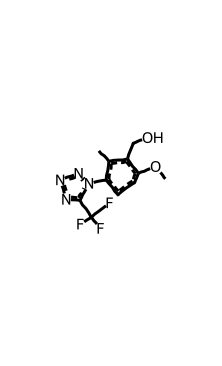 COc1ccc(-n2nnnc2C(F)(F)F)c(C)c1CO